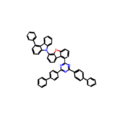 c1ccc(-c2ccc(-c3nc(-c4ccc(-c5ccccc5)cc4)nc(-c4cccc5oc6c(-n7c8ccccc8c8c(-c9ccccc9)cccc87)cccc6c45)n3)cc2)cc1